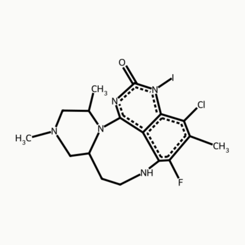 Cc1c(F)c2c3c(nc(=O)n(I)c3c1Cl)N1C(C)CN(C)CC1CCN2